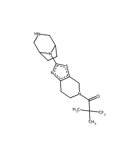 CC(C)(C(=O)N1CCc2nc(N3C4CCC3CNC4)sc2C1)C(F)(F)F